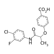 CC(Oc1ccc(C(=O)O)cc1)C(=O)Nc1ccc(Cl)c(F)c1